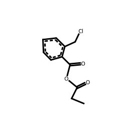 CCC(=O)OC(=O)c1ccccc1CCl